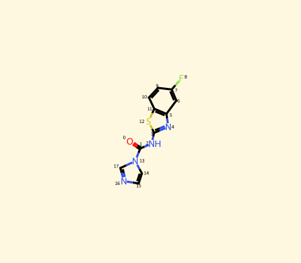 O=C(Nc1nc2cc(F)ccc2s1)n1ccnc1